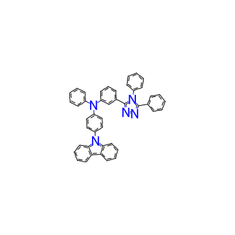 c1ccc(-c2nnc(-c3cccc(N(c4ccccc4)c4ccc(-n5c6ccccc6c6ccccc65)cc4)c3)n2-c2ccccc2)cc1